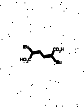 CCC(C)/C(=C/C=C(\C(=O)O)C(C)CC)C(=O)O